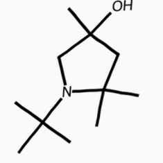 CC1(O)CN(C(C)(C)C)C(C)(C)C1